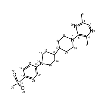 Cc1cnc(C)c(N2CCC(C3CCN(c4ccc(S(C)(=O)=O)cc4)CC3)CC2)n1